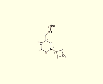 CC(C)(C)OCC1CN(C2COC2)CCO1